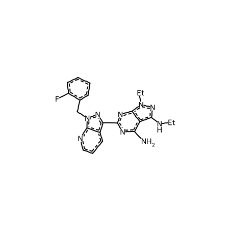 CCNc1nn(CC)c2nc(-c3nn(Cc4ccccc4F)c4ncccc34)nc(N)c12